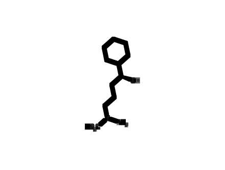 NN(CCC[C@H](O)C1CCCCC1)C(=O)O